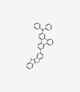 c1ccc(N(c2ccccc2)c2ccc3c4ccc(-c5ccc6c(c5)-c5sc7ccccc7c5C6)cc4c4ccccc4c3c2)cc1